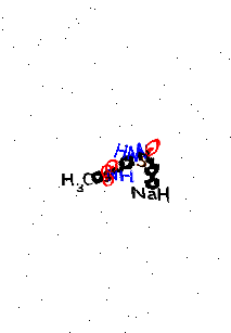 Cc1ccc(S(=O)(=O)NC(=O)Cc2ccc(NC3=NC(=O)C(=Cc4ccc(-c5ccccc5)cc4)S3)cc2)cc1.[NaH]